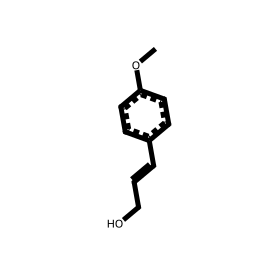 COc1ccc(C=CCO)cc1